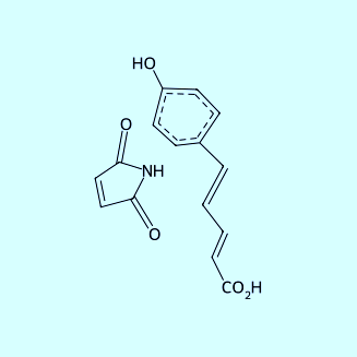 O=C(O)C=CC=Cc1ccc(O)cc1.O=C1C=CC(=O)N1